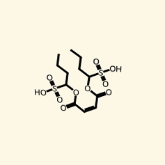 CCCC(OC(=O)/C=C\C(=O)OC(CCC)S(=O)(=O)O)S(=O)(=O)O